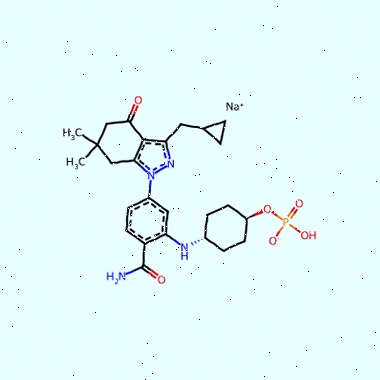 CC1(C)CC(=O)c2c(CC3CC3)nn(-c3ccc(C(N)=O)c(N[C@H]4CC[C@H](OP(=O)([O-])O)CC4)c3)c2C1.[Na+]